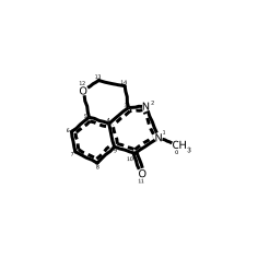 Cn1nc2c3c(cccc3c1=O)OCC2